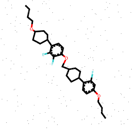 CCCCOc1ccc(C2CCC(COc3ccc(C4CCC(OCCCC)CC4)c(F)c3F)CC2)c(F)c1